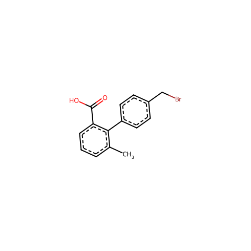 Cc1cccc(C(=O)O)c1-c1ccc(CBr)cc1